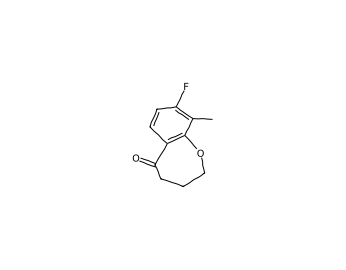 Cc1c(F)ccc2c1OCCCC2=O